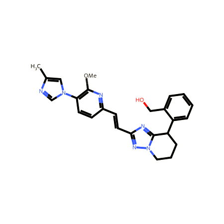 COc1nc(C=Cc2nc3n(n2)CCCC3c2ccccc2CO)ccc1-n1cnc(C)c1